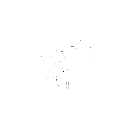 Cc1cc(Nc2cc3c(c(C(F)(F)F)c2)N(C)[C@H]2CCNC[C@@H]32)ccc1Cl